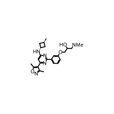 CNCC(O)COc1cccc(-c2nc(N[C@H]3C[C@H](C)C3)cc(-c3c(C)noc3C)n2)c1